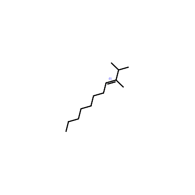 CCCCCCC/C=C(\C)C(C)C